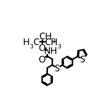 CC(C)(C)ONC(=O)CC(Cc1ccccc1)Sc1ccc(-c2cccs2)cc1